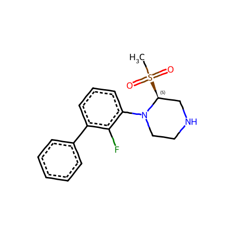 CS(=O)(=O)[C@H]1CNCCN1c1cccc(-c2ccccc2)c1F